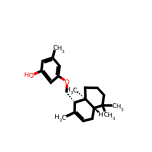 CC1=CC[C@H]2C(C)(C)CCC[C@]2(C)[C@H]1COc1cc(C)cc(O)c1